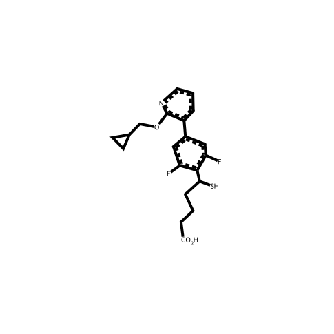 O=C(O)CCCC(S)c1c(F)cc(-c2cccnc2OCC2CC2)cc1F